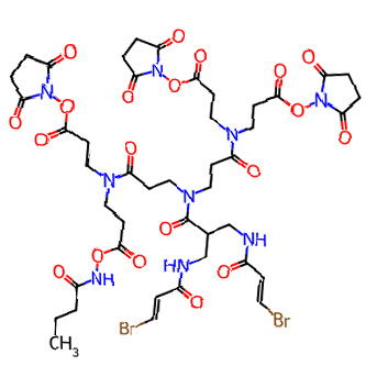 CCCC(=O)NOC(=O)CCN(CCC(=O)ON1C(=O)CCC1=O)C(=O)CCN(CCC(=O)N(CCC(=O)ON1C(=O)CCC1=O)CCC(=O)ON1C(=O)CCC1=O)C(=O)C(CNC(=O)/C=C/Br)CNC(=O)/C=C/Br